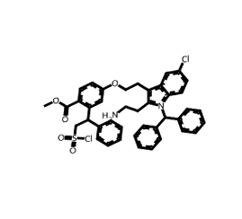 COC(=O)c1ccc(OCCc2c(CCN)n(C(c3ccccc3)c3ccccc3)c3ccc(Cl)cc23)cc1C(CS(=O)(=O)Cl)c1ccccc1